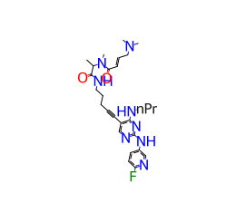 CCCNc1nc(Nc2ccc(F)nc2)ncc1C#CCCCNC(=O)C(C)N(C)C(=O)/C=C/CN(C)C